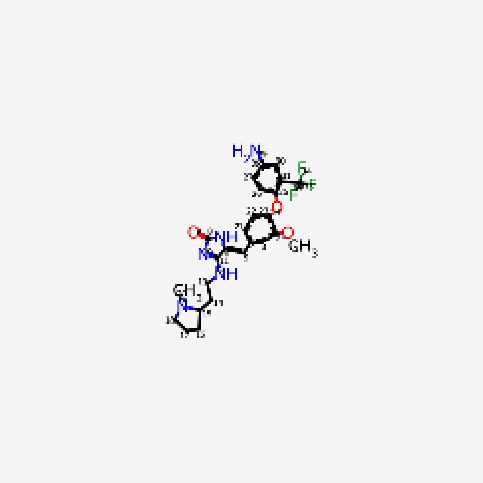 COc1cc(/C=C2\NC(=O)N=C2NCCC2CCCN2C)ccc1Oc1ccc(N)cc1C(F)(F)F